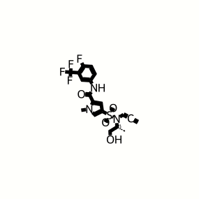 C=C=CN([C@H](C)CO)S(=O)(=O)c1cc(C(=O)Nc2ccc(F)c(C(F)(F)F)c2)n(C)c1